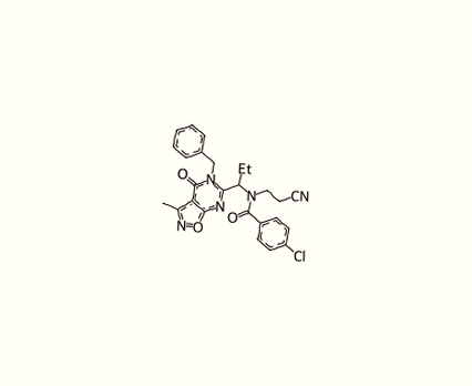 CCC(c1nc2onc(C)c2c(=O)n1Cc1ccccc1)N(CCC#N)C(=O)c1ccc(Cl)cc1